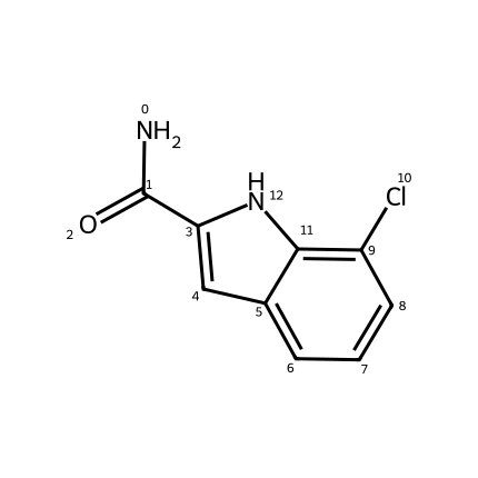 NC(=O)c1cc2cccc(Cl)c2[nH]1